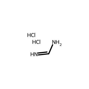 Cl.Cl.N=CN